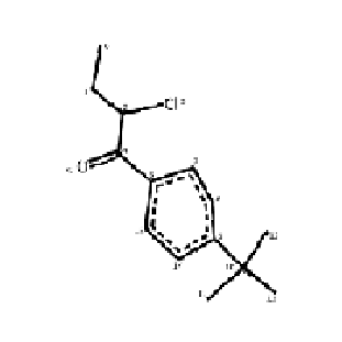 CCC(Cl)C(=O)c1ccc(C(C)(C)C)cc1